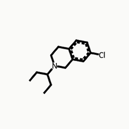 CCC(CC)N1CCc2ccc(Cl)cc2C1